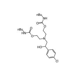 CCCCNC(=O)OCCN(CCOC(=O)NCCCC)CC(O)c1ccc(Cl)cc1